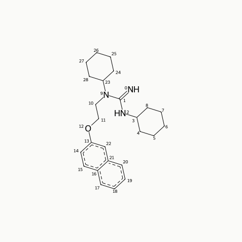 N=C(NC1CCCCC1)N(CCOc1ccc2ccccc2c1)C1CCCCC1